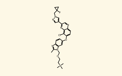 Cc1nc2ccc(Oc3ccc4ncc(-c5cnn(CC6(F)CC6)c5)nc4c3Cl)cc2n1COCC[Si](C)(C)C